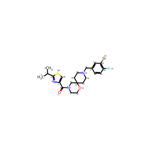 CC(C)c1nc(C(=O)N2CCOC3(CCN(Cc4ccc(F)c(Br)c4)CC3)C2)cs1